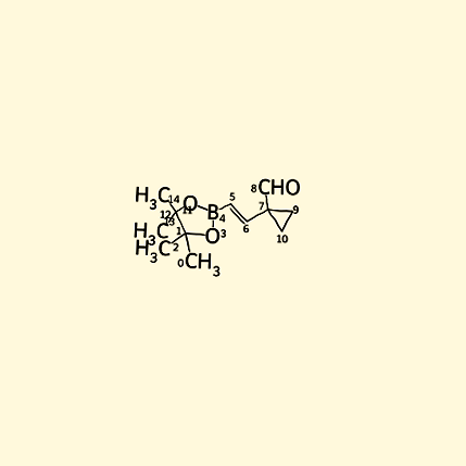 CC1(C)OB(/C=C/C2(C=O)CC2)OC1(C)C